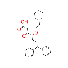 O=C(O)CC(=O)C(CCC(c1ccccc1)c1ccccc1)OCCC1CCCCC1